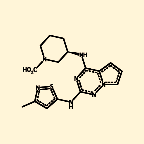 Cc1cc(Nc2nc(N[C@@H]3CCCN(C(=O)O)C3)c3cccn3n2)sn1